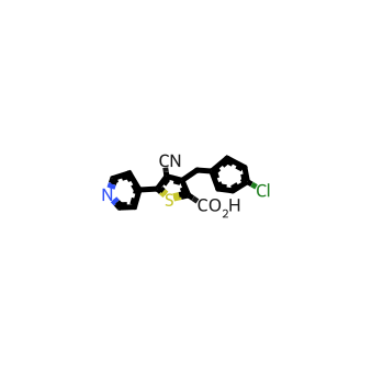 N#Cc1c(-c2ccncc2)sc(C(=O)O)c1Cc1ccc(Cl)cc1